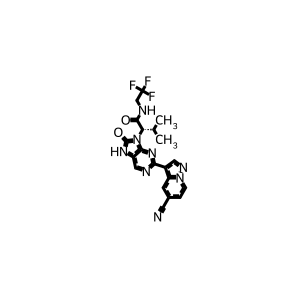 CC(C)[C@@H](C(=O)NCC(F)(F)F)n1c(=O)[nH]c2cnc(-c3cnn4ccc(C#N)cc34)nc21